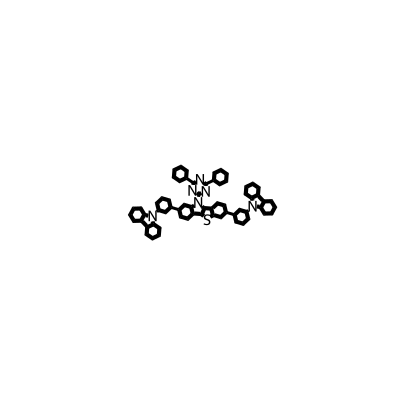 c1ccc(-c2nc(-c3ccccc3)nc(-n3c4cc(-c5cccc(-n6c7ccccc7c7ccccc76)c5)ccc4c4sc5cc(-c6cccc(-n7c8ccccc8c8ccccc87)c6)ccc5c43)n2)cc1